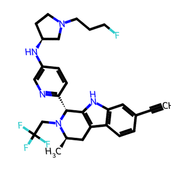 C#Cc1ccc2c3c([nH]c2c1)[C@@H](c1ccc(N[C@H]2CCN(CCCF)C2)cn1)N(CC(F)(F)F)[C@H](C)C3